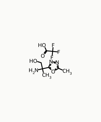 Cc1nnc(C(C)(N)CO)o1.O=C(O)C(F)(F)F